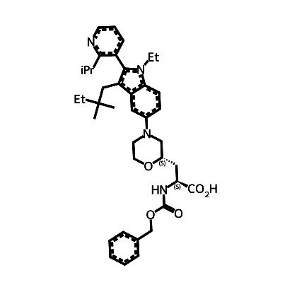 CCn1c(-c2cccnc2C(C)C)c(CC(C)(C)CC)c2cc(N3CCO[C@@H](C[C@H](NC(=O)OCc4ccccc4)C(=O)O)C3)ccc21